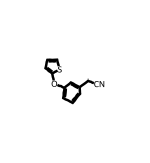 N#C[CH]c1cccc(Oc2cccs2)c1